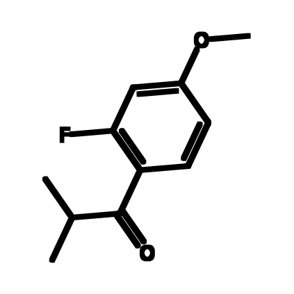 COc1ccc(C(=O)C(C)C)c(F)c1